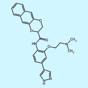 CN(C)CCOc1cc(-c2cn[nH]c2)ccc1NC(=O)C1COc2cc3ccccc3cc2O1